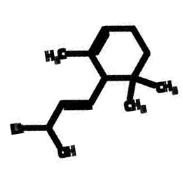 CCC(O)C=CC1C(C)=CCCC1(C)C